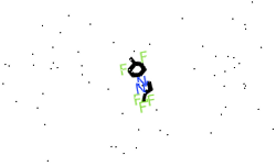 Cc1c(F)cc(-n2ccc(C(F)(F)F)n2)cc1F